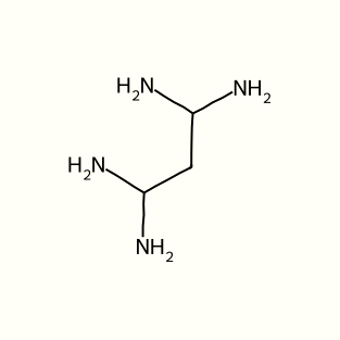 NC(N)CC(N)N